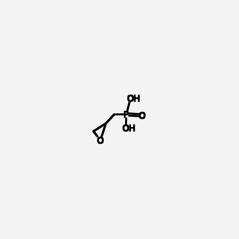 O=P(O)(O)CC1CO1